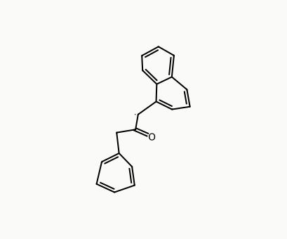 O=C([CH]c1cccc2ccccc12)Cc1ccccc1